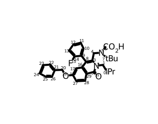 CC(C)Cn1c(CN(C(=O)O)C(C)(C)C)c(-c2ccccc2F)c2cc(OCc3ccccc3)ccc2c1=O